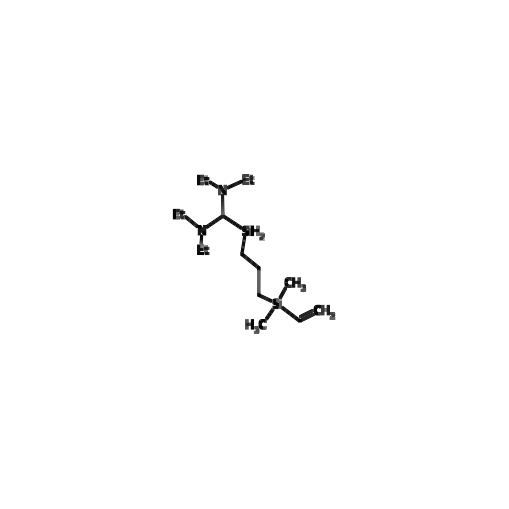 C=C[Si](C)(C)CCC[SiH2]C(N(CC)CC)N(CC)CC